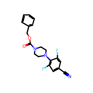 N#Cc1cc(F)c(N2CCN(C(=O)OCc3ccccc3)CC2)c(F)c1